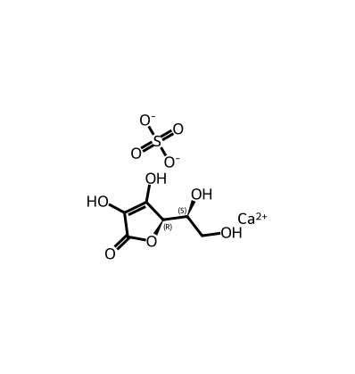 O=C1O[C@H]([C@@H](O)CO)C(O)=C1O.O=S(=O)([O-])[O-].[Ca+2]